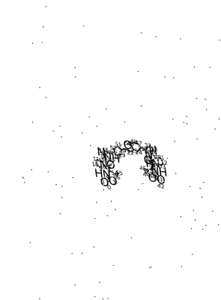 COC(=O)N[C@H](C(=O)N1CCC[C@H]1c1ncc(-c2ccc(-c3cc4cc(-c5cnc([C@@H]6CCCN6C(=O)[C@@H](NC(=O)OC)C6CC6)[nH]5)ccc4o3)cc2)[nH]1)C1CC1